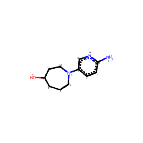 Nc1ccc(N2CCCC(O)CC2)cn1